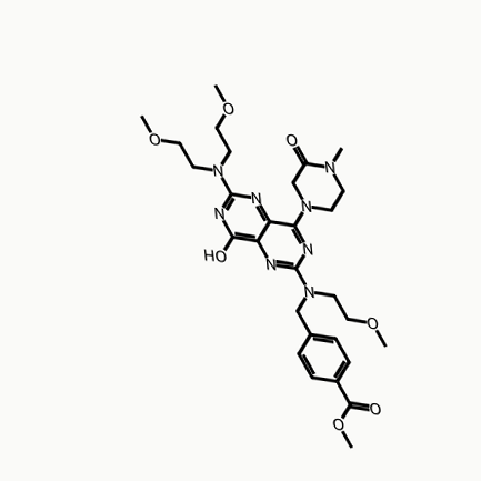 COCCN(Cc1ccc(C(=O)OC)cc1)c1nc(N2CCN(C)C(=O)C2)c2nc(N(CCOC)CCOC)nc(O)c2n1